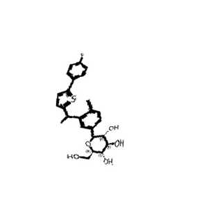 Cc1ccc(C2O[C@H](CO)[C@@H](O)[C@H](O)[C@H]2O)cc1C(C)c1ccc(-c2ccc(F)cc2)s1